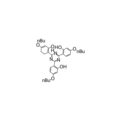 CCCCOC1=CC(O)=C(c2nc(-c3ccc(OCCCC)cc3O)nc(-c3ccc(OCCCC)cc3O)n2)CC1